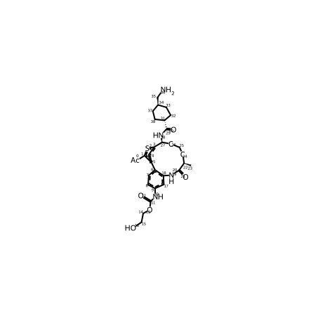 CC(=O)c1sc2cc1-c1ccc(NC(=O)OCCO)cc1NC(=O)[C@H](C)CCC[C@@H]2NC(=O)[C@H]1CC[C@H](CN)CC1